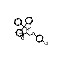 CN(C(COc1ccc(Cl)cc1)C(=O)O)C(c1ccccc1)(c1ccccc1)c1ccccc1